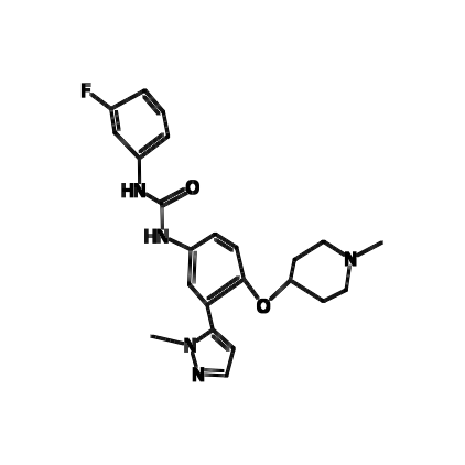 CN1CCC(Oc2ccc(NC(=O)Nc3cccc(F)c3)cc2-c2ccnn2C)CC1